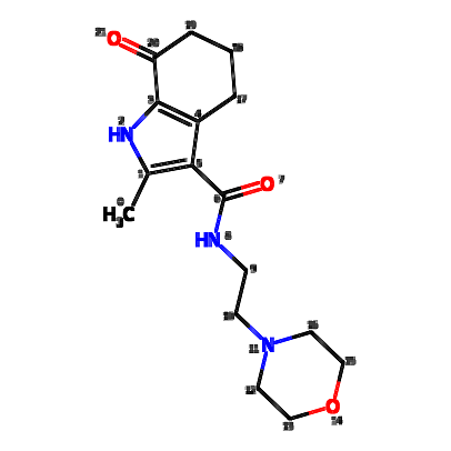 Cc1[nH]c2c(c1C(=O)NCCN1CCOCC1)CCCC2=O